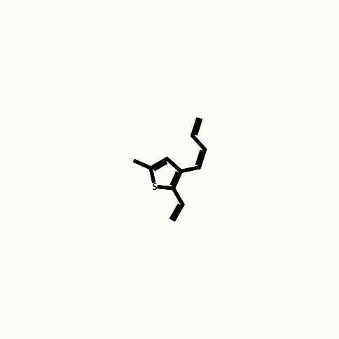 C=C/C=C\c1cc(C)sc1C=C